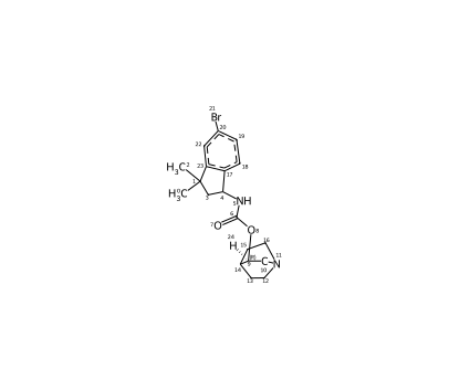 CC1(C)CC(NC(=O)O[C@H]2CN3CCC2CC3)c2ccc(Br)cc21